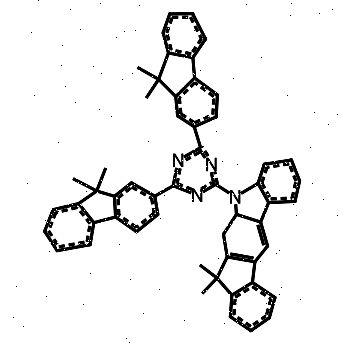 CC1(C)C2=C(C=C3c4ccccc4N(c4nc(-c5ccc6c(c5)C(C)(C)c5ccccc5-6)nc(-c5ccc6c(c5)C(C)(C)c5ccccc5-6)n4)C3C2)c2ccccc21